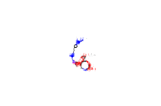 CC[C@H]1OC(=O)[C@H](C)[C@@H](C2C[C@@](C)(OC)[C@@H](O)[C@H](C)O2)[C@H](C)[C@@H](O[C@@H]2O[C@H](C)C[C@H](N(C)CCc3cn(CCCCc4ccc(-n5cc(CN(CC)CC)nn5)cc4)nn3)[C@H]2O)[C@](C)(O)C[C@@H](C)CN(C)[C@H](C)[C@@H](O)[C@]1(C)O